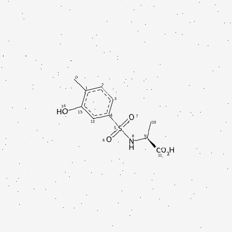 Cc1ccc(S(=O)(=O)N[C@@H](C)C(=O)O)cc1O